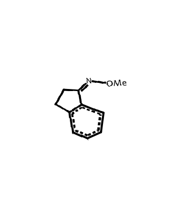 CO/N=C1/CCc2c[c]ccc21